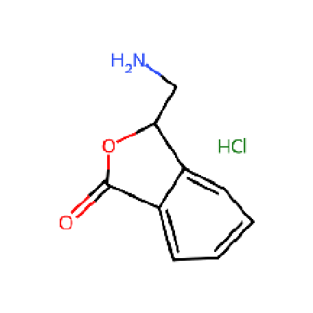 Cl.NCC1OC(=O)c2ccccc21